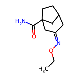 CCON=C1CC2[CH]C(C(N)=O)(CC2)C1